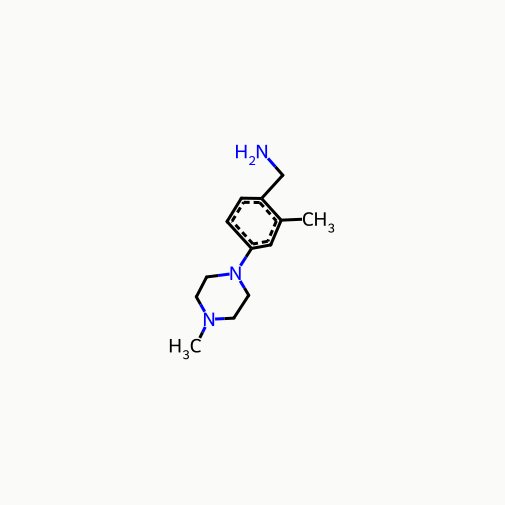 Cc1cc(N2CCN(C)CC2)ccc1CN